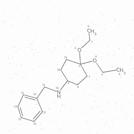 CCOC1(OCC)CCC(NCc2ccccc2)CC1